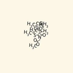 CCSC1C(C(C)(C)[C@@H](O[SiH3])C(C)(C)C)C(=O)N1CC(=O)OC